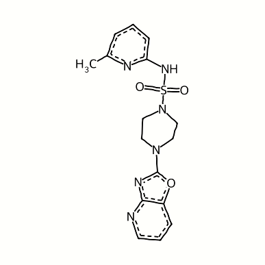 Cc1cccc(NS(=O)(=O)N2CCN(c3nc4ncccc4o3)CC2)n1